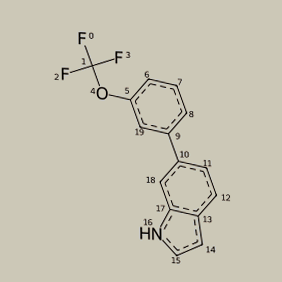 FC(F)(F)Oc1cccc(-c2ccc3cc[nH]c3c2)c1